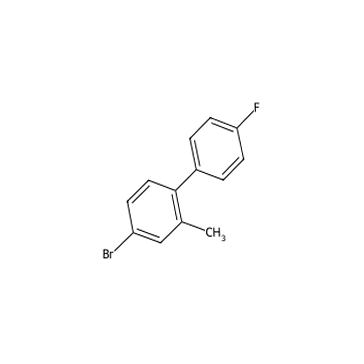 Cc1cc(Br)ccc1-c1ccc(F)cc1